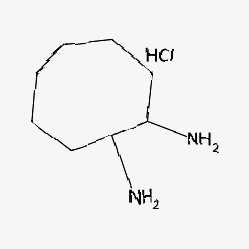 Cl.NC1CCCCCCC1N